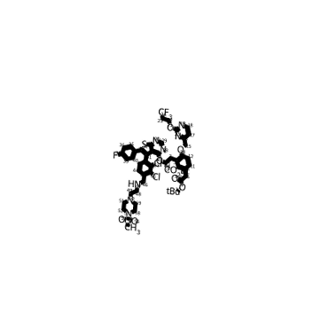 CCOC(=O)[C@@H](Cc1cc(CC(=O)OC(C)(C)C)ccc1OCc1ccnc(OCCC(F)(F)F)n1)Oc1ncnc2sc(-c3ccc(F)cc3)c(-c3ccc(CNCCN4CCN(S(C)(=O)=O)CC4)c(Cl)c3C)c12